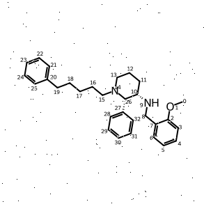 COc1ccccc1CN[C@H]1CCCN(CCCCCc2ccccc2)[C@H]1c1ccccc1